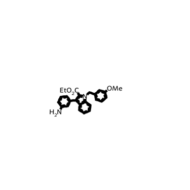 CCOC(=O)c1c(-c2cccc(N)c2)c2ccccc2n1Cc1cccc(OC)c1